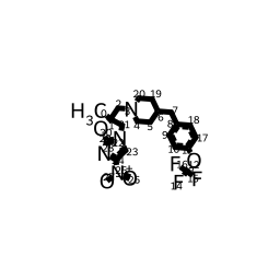 CC1(CN2CCC(Cc3ccc(OC(F)(F)F)cc3)CC2)Cn2cc([N+](=O)[O-])nc2O1